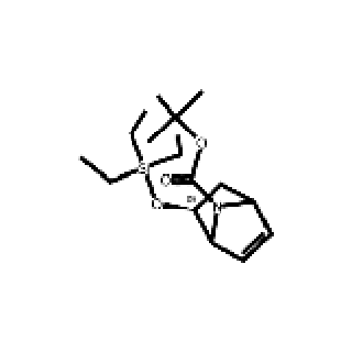 CC[Si](CC)(CC)O[C@H]1CC2C=CC1N2C(=O)OC(C)(C)C